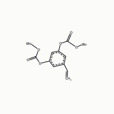 C=Cc1cc(OC(=O)OC(C)(C)C)cc(OC(=O)OC(C)(C)C)c1